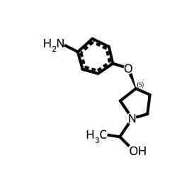 CC(O)N1CC[C@H](Oc2ccc(N)cc2)C1